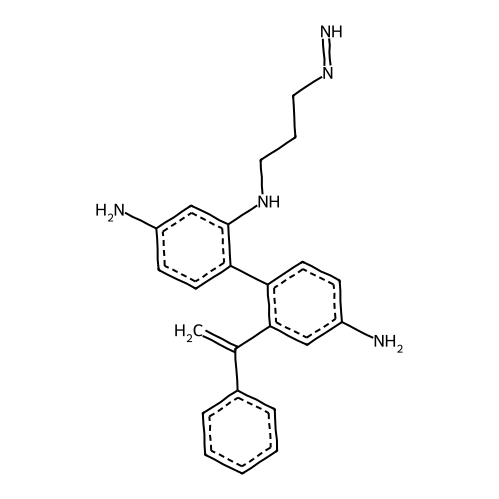 C=C(c1ccccc1)c1cc(N)ccc1-c1ccc(N)cc1NCCCN=N